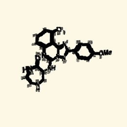 COc1ccc(-c2nc3c4c(C(F)(F)F)cccc4nc(N[C@@H]4CNCCNC4=O)n3n2)cc1